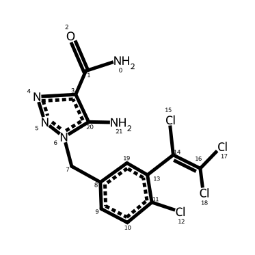 NC(=O)c1nnn(Cc2ccc(Cl)c(C(Cl)=C(Cl)Cl)c2)c1N